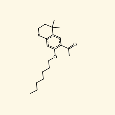 CCCCCCCOc1cc2c(cc1C(C)=O)C(C)(C)CCS2